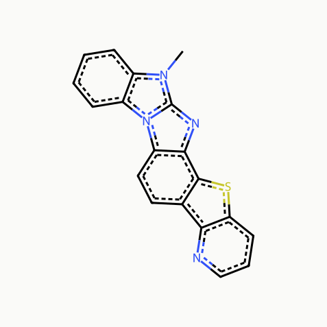 Cn1c2ccccc2n2c3ccc4c5ncccc5sc4c3nc12